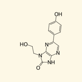 O=c1[nH]c2ncc(-c3ccc(O)cc3)nc2n1CCO